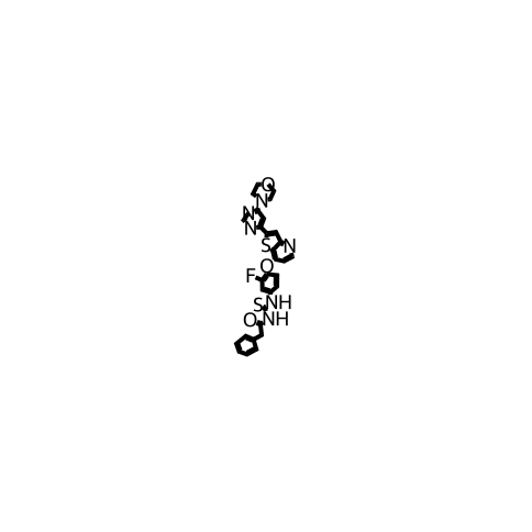 O=C(Cc1ccccc1)NC(=S)Nc1ccc(Oc2ccnc3cc(-c4cc(N5CCOCC5)ncn4)sc23)c(F)c1